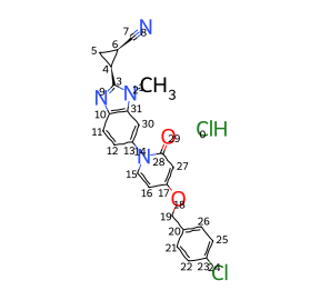 Cl.Cn1c([C@H]2C[C@H]2C#N)nc2ccc(-n3ccc(OCc4ccc(Cl)cc4)cc3=O)cc21